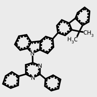 CC1(C)c2ccccc2-c2ccc(-c3ccc4c(c3)c3ccccc3n4-c3cc(-c4ccccc4)nc(-c4ccccc4)n3)cc21